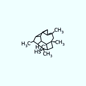 C/C1=C2/C3C2C2C3C(C)C3C2[C@]2(C)C(C[C@@]2(C)C1)C3(C)S